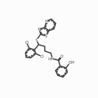 O=C(NCCCC(Sc1nc2ncccc2s1)c1c(Cl)cccc1Cl)c1ccccc1O